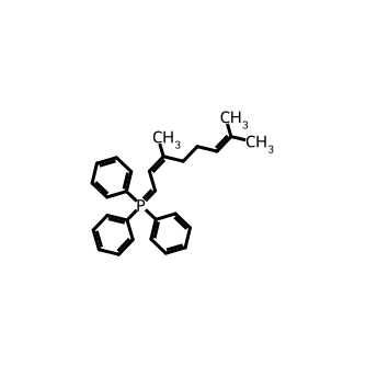 CC(C)=CCCC(C)=CC=P(c1ccccc1)(c1ccccc1)c1ccccc1